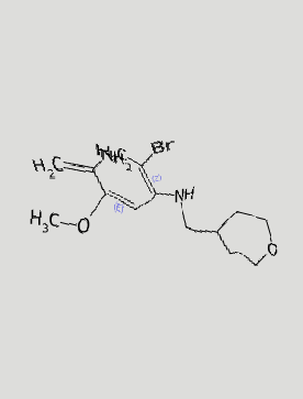 C=C(N)/C(=C\C(NCC1CCOCC1)=C(/C)Br)OC